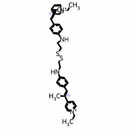 CC[n+]1ccc(/C(C)=C/c2ccc(NCCSSCCNc3ccc(/C=C4\C[N@@+]5(CC)C=CC4=CC5)cc3)cc2)cc1